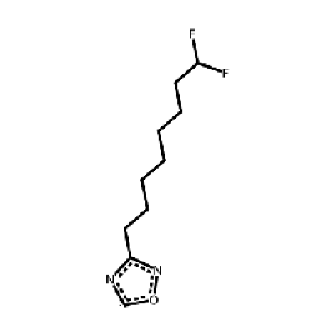 FC(F)CCCCCCCc1n[c]on1